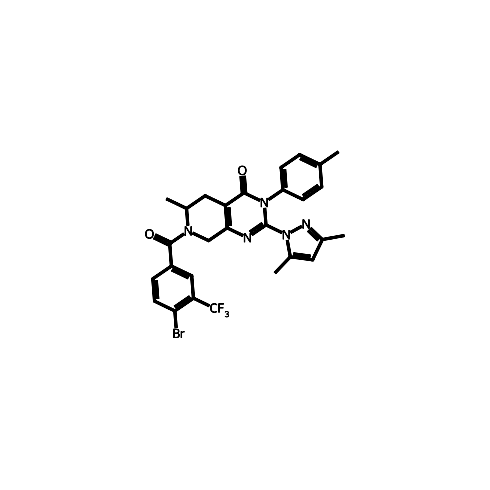 Cc1ccc(-n2c(-n3nc(C)cc3C)nc3c(c2=O)CC(C)N(C(=O)c2ccc(Br)c(C(F)(F)F)c2)C3)cc1